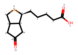 O=C(O)CCCC[C@@H]1SCC2CC(=O)CC21